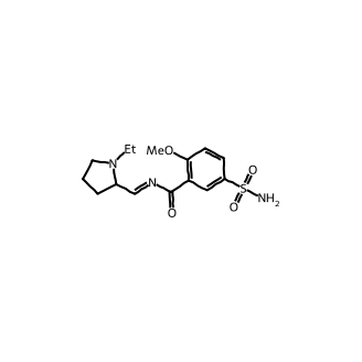 CCN1CCCC1C=NC(=O)c1cc(S(N)(=O)=O)ccc1OC